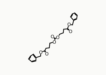 O=C(CCCOC(=O)OCCCC(=O)OCc1ccccc1)OCc1ccccc1